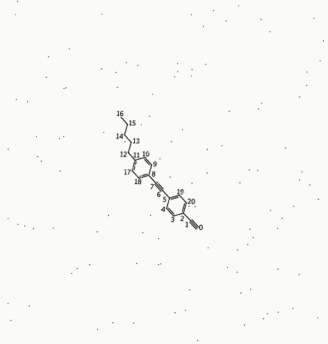 C#Cc1ccc(C#Cc2ccc(CCCCC)cc2)cc1